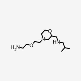 CC(C)CNCC1CN(CCOCCN)CCO1